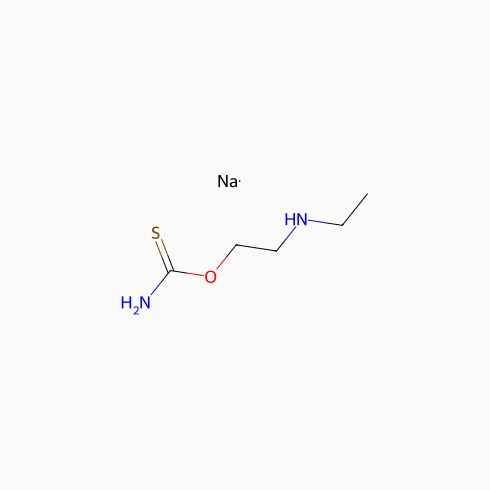 CCNCCOC(N)=S.[Na]